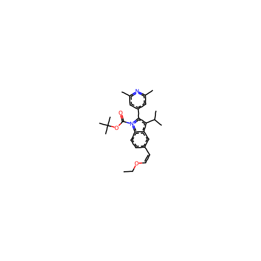 CCO/C=C\c1ccc2c(c1)c(C(C)C)c(-c1cc(C)nc(C)c1)n2C(=O)OC(C)(C)C